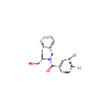 O=C(c1ccc(Cl)c(Cl)c1)N1Cc2ccccc2CC1CO